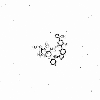 COC(=O)N(C)[C@@H]1[C@H](N)C[C@H](c2ccncc2Nc2ncc3ccc(-c4c(F)cc(C5(O)CCC5)cc4F)nn23)C[C@@H]1C